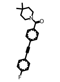 CC1(C)CCN(C(=O)c2ccc(C#Cc3ccc(F)cc3)cc2)CC1